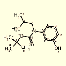 CC(C)CN(C(=O)OC(C)(C)C)c1cccc(O)c1